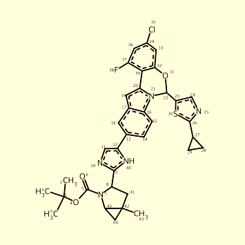 CC(C)(C)OC(=O)N1C(c2ncc(-c3ccc4c(c3)cc3n4C(c4cnc(C5CC5)s4)Oc4cc(Cl)cc(F)c4-3)[nH]2)CC2(C)CC12